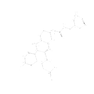 O=C(NCC1CC=CNC1)NC1CCC2NC(C3CCC(F)CC3)C(C3CCC(F)CC3)=NC2C1